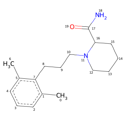 Cc1cccc(C)c1CCCN1CCCCC1C(N)=O